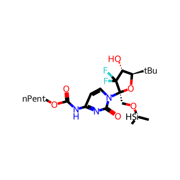 CCCCCOC(=O)Nc1ccn([C@]2(CO[SiH](C)C)O[C@H](C(C)(C)C)[C@@H](O)C2(F)F)c(=O)n1